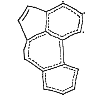 [c]1[c]c2c3c(cc4ccccc4c3[c]1)C=C2